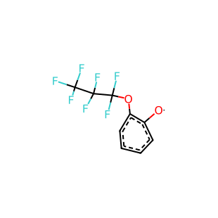 [O]c1ccccc1OC(F)(F)C(F)(F)C(F)(F)F